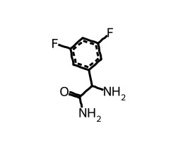 NC(=O)C(N)c1cc(F)cc(F)c1